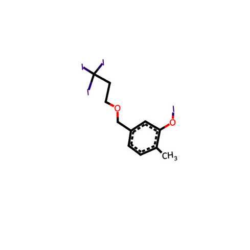 Cc1ccc(COCCC(I)(I)I)cc1OI